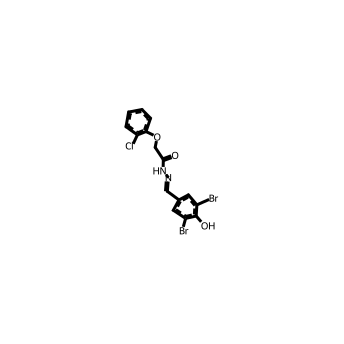 O=C(COc1ccccc1Cl)NN=Cc1cc(Br)c(O)c(Br)c1